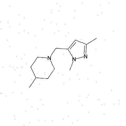 Cc1cc(CN2CCC(C)CC2)n(C)n1